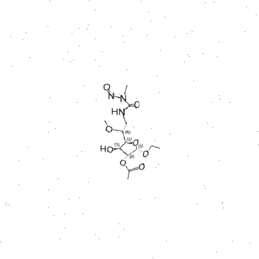 CCO[C@H]1O[C@H]([C@@H](CNC(=O)N(C)N=O)OC)[C@H](O)[C@H]1OC(C)=O